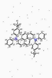 C[Si](C)(C)c1ccc(N(C2=CC=CCC2)C2C=Cc3ccc4c5c(ccc2c35)C=CC4N(c2ccccc2)c2ccc([Si](C)(C)C)cc2)cc1